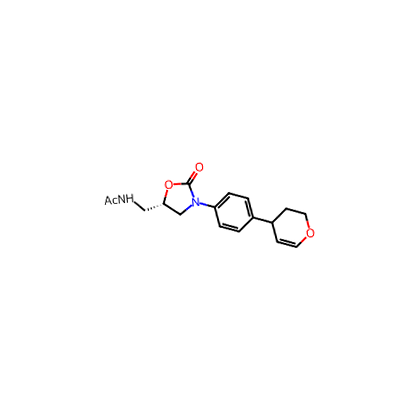 CC(=O)NC[C@H]1CN(c2ccc(C3C=COCC3)cc2)C(=O)O1